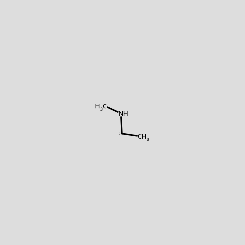 C[C]NC